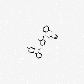 Cc1ccc(-c2ccccc2C(=O)Nc2ccc(C(=O)N3C[C@@H]4C5CCC(C5)N4Cc4ccccc43)c(Cl)c2)cc1